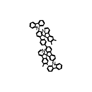 Cc1cc2c(cc1C)[C@]1(c3cc(-c4ccc5c(c4)[C@@]4(c6cc(-n7c8ccccc8c8ccccc87)ccc6-5)c5cc(C)c(C)cc5-c5cccnc54)ccc3-c3ccc(-n4c5ccccc5c5ccccc54)cc31)c1ncccc1-2